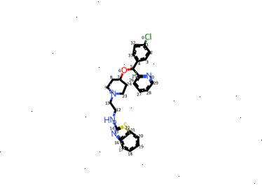 Clc1ccc(C(OC2CCN(CCNc3nc4ccccc4s3)CC2)c2ccccn2)cc1